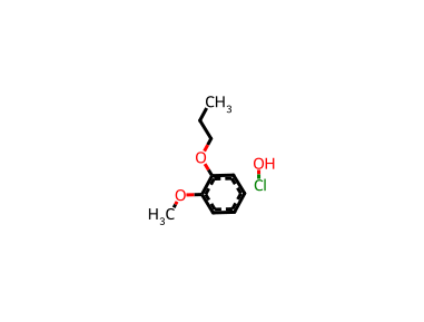 CCCOc1ccccc1OC.OCl